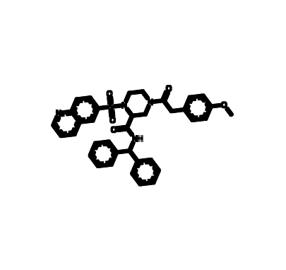 COc1ccc(CC(=O)N2CCN(S(=O)(=O)c3ccc4ncccc4c3)C(C(=O)NC(c3ccccc3)c3ccccc3)C2)cc1